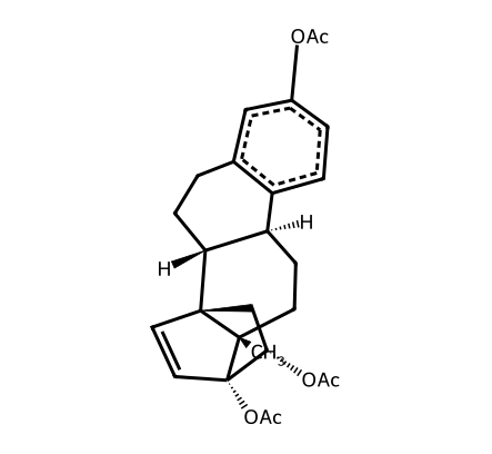 CC(=O)Oc1ccc2c(c1)CC[C@@H]1[C@@H]2CC[C@@]2(C)[C@]13C=C[C@]2(OC(C)=O)[C@@H](OC(C)=O)C3